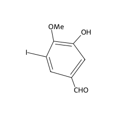 COc1c(O)cc(C=O)cc1I